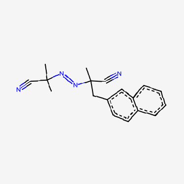 CC(C)(C#N)/N=N/C(C)(C#N)Cc1ccc2ccccc2c1